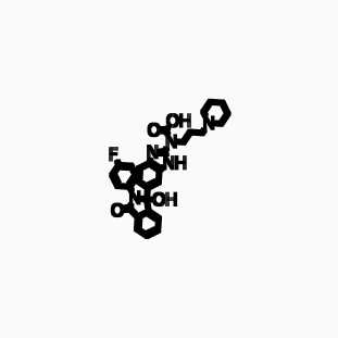 O=C(O)N(CCCN1CCCCC1)c1nc2ccc(C3(O)c4ccccc4C(=O)N3c3ccc(F)cc3)cc2[nH]1